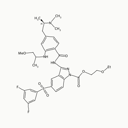 CCOCCOC(=O)n1nc(NC(=O)c2ccc(C[C@@H](C)N(C)C)cc2NC(C)COC)c2cc(S(=O)(=O)c3cc(F)cc(F)c3)ccc21